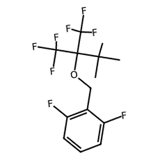 CC(C)(C)C(OCc1c(F)cccc1F)(C(F)(F)F)C(F)(F)F